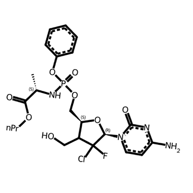 CCCOC(=O)[C@H](C)NP(=O)(OC[C@H]1O[C@@H](n2ccc(N)nc2=O)C(F)(Cl)C1CO)Oc1ccccc1